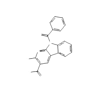 NC(=O)c1cc2c3ccccc3n(C(=O)c3ccccc3)c2nc1N